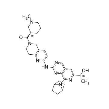 C[C@@H](O)c1cc2cnc(Nc3ccc4c(n3)CCN(C(=O)[C@@H]3CCCN(C)C3)C4)nc2c(N2C3CCC2CC3)n1